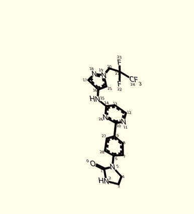 O=C1NCCN1c1ccc(-c2nccc(Nc3cnn(CC(F)(F)C(F)(F)F)c3)n2)cc1